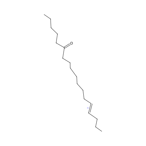 CCC/C=C/CCCCCCCC(=O)CCCCC